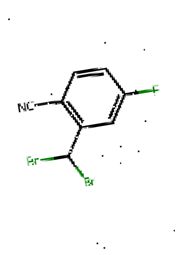 N#Cc1ccc(F)cc1C(Br)Br